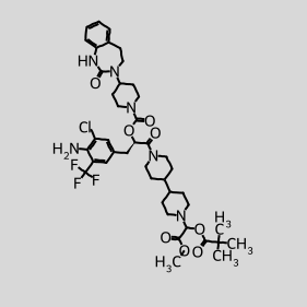 COC(=O)C(OC(=O)C(C)(C)C)N1CCC(C2CCN(C(=O)[C@@H](Cc3cc(Cl)c(N)c(C(F)(F)F)c3)OC(=O)N3CCC(N4CCc5ccccc5NC4=O)CC3)CC2)CC1